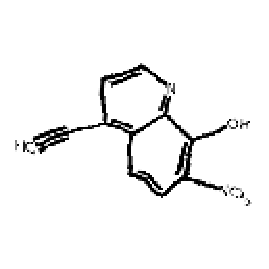 C#Cc1ccnc2c(O)c([N+](=O)[O-])ccc12